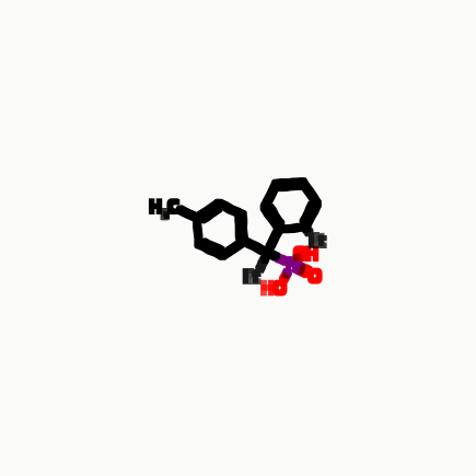 CCc1ccccc1C(CC)(c1ccc(C)cc1)P(=O)(O)O